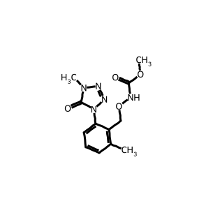 COC(=O)NOCc1c(C)cccc1-n1nnn(C)c1=O